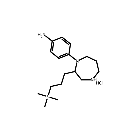 C[Si](C)(C)CCCC1CNCCCN1c1ccc(N)cc1.Cl